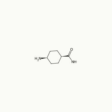 [NH]C(=O)[C@H]1CC[C@@H](N)CC1